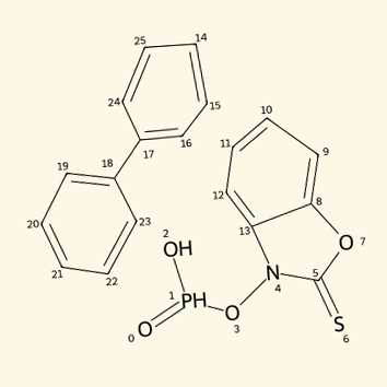 O=[PH](O)On1c(=S)oc2ccccc21.c1ccc(-c2ccccc2)cc1